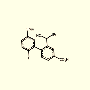 COc1ccc(F)c(-c2ccc(C(=O)O)cc2C(O)C(C)C)c1